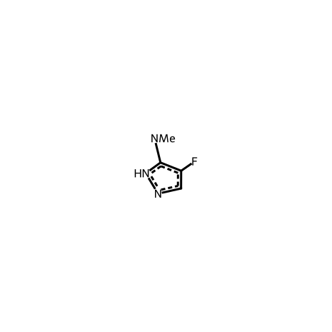 CNc1[nH]ncc1F